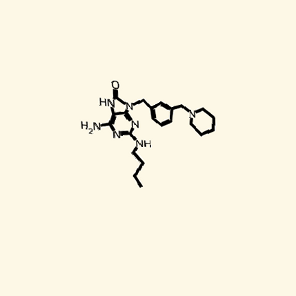 CCCCNc1nc(N)c2[nH]c(=O)n(Cc3cccc(CN4CCCCC4)c3)c2n1